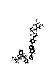 COC(=O)N[C@H](C(=O)N1CCC[C@H]1c1ncc(-c2ccc(-c3ccc4cc(-c5c[nH]c([C@@H]6CCCN6C(=O)[C@H](NC(=O)NC(C)(C)C)c6ccccc6)n5)ccc4c3)cc2)[nH]1)C(C)C